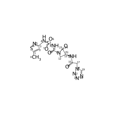 Cc1cc(NS(=O)(=O)NC(=O)N2C[C@H](NC(=O)Cn3cnnn3)C2=O)ns1